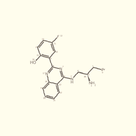 CC(C)C[C@@H](N)CNc1nc(-c2cc(F)ccc2O)nc2ccccc12